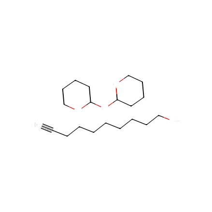 C#CCCCCCCCCO.C1CCC(OC2CCCCO2)OC1